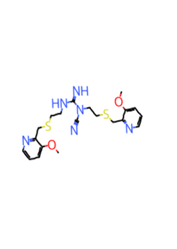 COc1cccnc1CSCCNC(=N)N(C#N)CCSCc1ncccc1OC